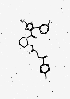 Cc1nc(C(=O)N2CCCC[C@@H]2CC(=O)OCC(=O)c2ccc(F)cc2)c(-c2cccc(F)c2)s1